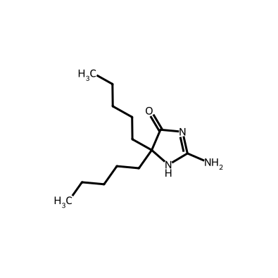 CCCCCC1(CCCCC)NC(N)=NC1=O